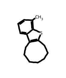 Cc1cccc2c3c(sc12)CCCCCCC3